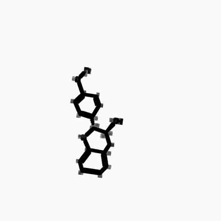 CCOc1ccc([C@H]2Oc3ccccc3C[C@@H]2O)cc1